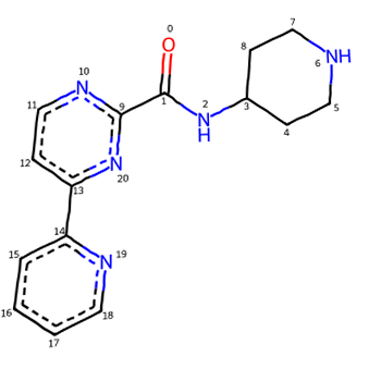 O=C(NC1CCNCC1)c1nccc(-c2ccccn2)n1